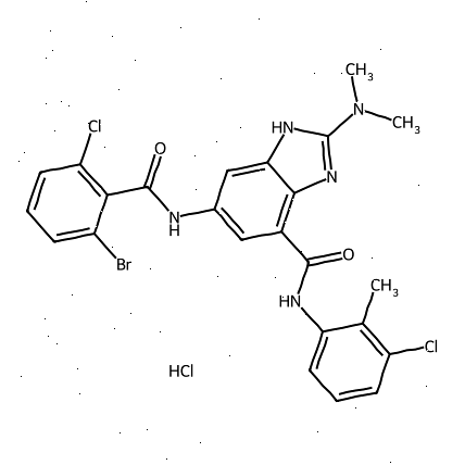 Cc1c(Cl)cccc1NC(=O)c1cc(NC(=O)c2c(Cl)cccc2Br)cc2[nH]c(N(C)C)nc12.Cl